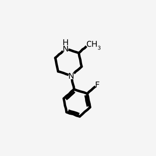 CC1CN(c2ccccc2F)CCN1